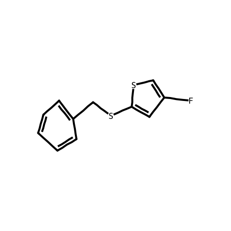 Fc1csc(SCc2ccccc2)c1